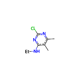 CCNc1nc(Cl)nc(C)c1C